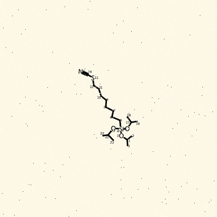 CC(C)O[Si](CCCCCCCCSC#N)(OC(C)C)OC(C)C